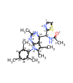 CC(=O)NC(c1nccs1)c1nc(C)nc2c1c(C)c(C)n2-c1c(C)cc(C)cc1C